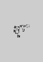 O=C(NC1COC1)c1c[nH]c2ncc(Br)cc12